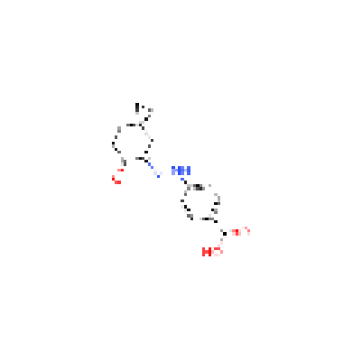 O=C1CCC2(CC2)C/C1=N\Nc1ccc(C(=O)O)cc1